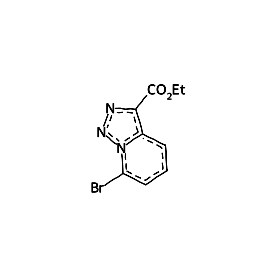 CCOC(=O)c1nnn2c(Br)cccc12